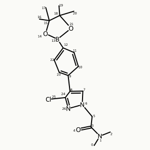 CN(C)C(=O)Cn1cc(-c2ccc(B3OC(C)(C)C(C)(C)O3)cc2)c(Cl)n1